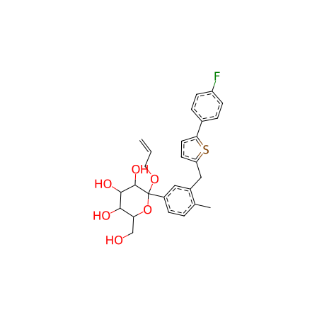 C=CCOC1(c2ccc(C)c(Cc3ccc(-c4ccc(F)cc4)s3)c2)OC(CO)C(O)C(O)C1O